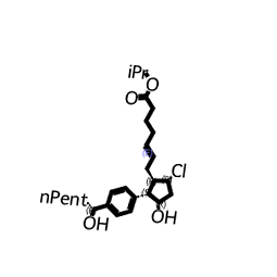 CCCCC[C@@H](O)c1ccc([C@@H]2[C@@H](C/C=C/CCCC(=O)OC(C)C)[C@H](Cl)C[C@H]2O)cc1